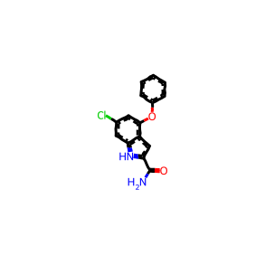 NC(=O)c1cc2c(Oc3ccccc3)cc(Cl)cc2[nH]1